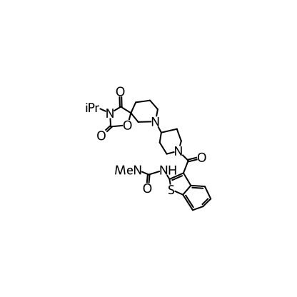 CNC(=O)Nc1sc2ccccc2c1C(=O)N1CCC(N2CCCC3(C2)OC(=O)N(C(C)C)C3=O)CC1